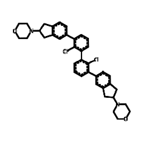 Clc1c(-c2ccc3c(c2)CC(N2CCOCC2)C3)cccc1-c1cccc(-c2ccc3c(c2)CC(N2CCOCC2)C3)c1Cl